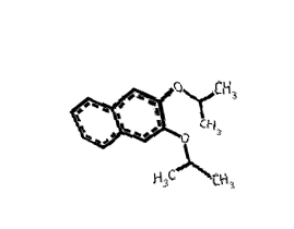 CC(C)Oc1cc2ccccc2cc1OC(C)C